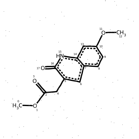 COC(=O)Cc1cc2ccc(OC)cc2[nH]c1=O